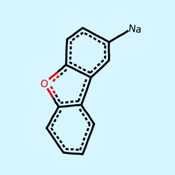 [Na][c]1ccc2oc3ccccc3c2c1